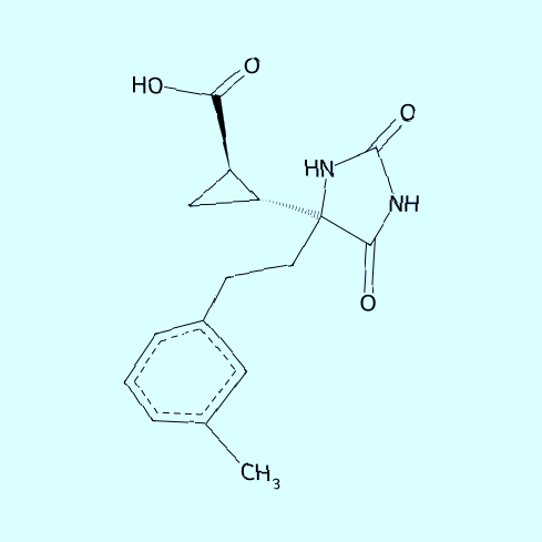 Cc1cccc(CCC2([C@@H]3C[C@H]3C(=O)O)NC(=O)NC2=O)c1